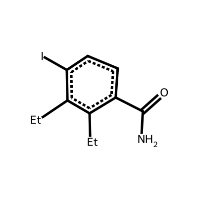 CCc1c(I)ccc(C(N)=O)c1CC